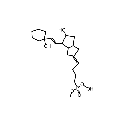 COP(=O)(CCCC=C1CC2CC(O)C(C=CC3(O)CCCCC3)C2C1)OO